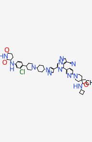 CCC1(C(=O)NC2CCC2)CCN(c2ccc(-c3nc(-c4cnn([C@H]5CC[C@H](N6CCC(c7ccc(N[C@@H]8CCC(=O)NC8=O)cc7Cl)CC6)CC5)c4)cn4ncc(C#N)c34)cn2)CC1